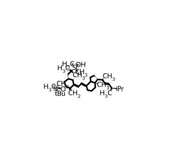 C=C1/C(=C/C=C2\CCC[C@@]3(C)C2CC[C@@H]3[C@H](C)/C=C/[C@H](C)C(C)C)C[C@@H](CC(C)(C)[Si](C)(C)O)C[C@@H]1O[Si](C)(C)C(C)(C)C